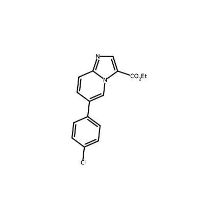 CCOC(=O)c1cnc2ccc(-c3ccc(Cl)cc3)cn12